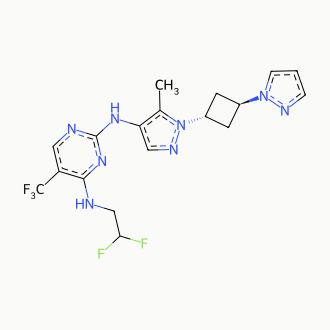 Cc1c(Nc2ncc(C(F)(F)F)c(NCC(F)F)n2)cnn1[C@H]1C[C@H](n2cccn2)C1